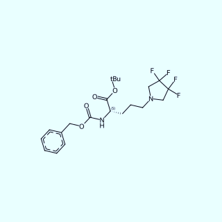 CC(C)(C)OC(=O)[C@H](CCCN1CC(F)(F)C(F)(F)C1)NC(=O)OCc1ccccc1